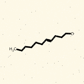 CCCCCC/C=C/CCC[O]